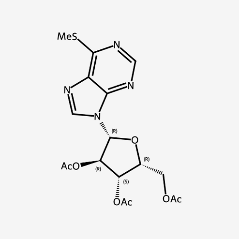 CSc1ncnc2c1ncn2[C@@H]1O[C@H](COC(C)=O)[C@H](OC(C)=O)[C@H]1OC(C)=O